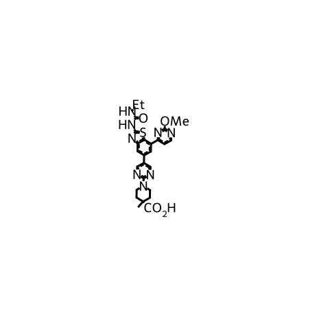 CCNC(=O)Nc1nc2cc(-c3cnc(N4CCC(C)(C(=O)O)CC4)nc3)cc(-c3ccnc(OC)n3)c2s1